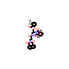 Cc1cccc(OCC(CNC(=O)CCN2C(=O)c3cccc4cccc(c34)C2=O)N2C(=O)[C@@H]3[C@H](C2=O)[C@H]2C=C[C@@H]3O2)c1C=O